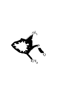 Cc1cccc(C)c1P=O